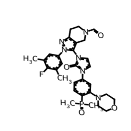 Cc1cc(-n2nc3c(c2-n2ccn(-c4ccc(P(C)(C)=O)c(N5CCOCC5)c4)c2=O)CN(C=O)CC3)cc(C)c1F